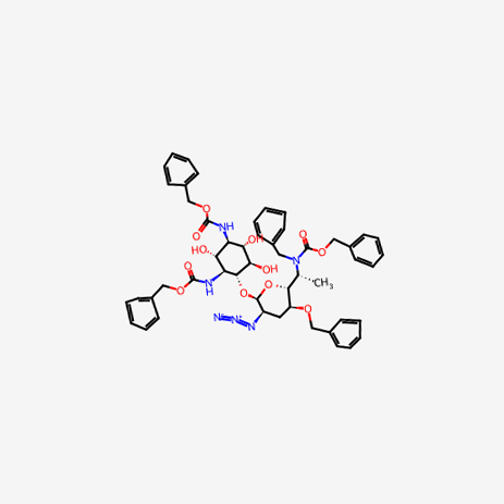 C[C@H]([C@H]1O[C@H](O[C@H]2[C@H](O)[C@@H](O)[C@H](NC(=O)OCc3ccccc3)[C@@H](O)[C@@H]2NC(=O)OCc2ccccc2)[C@H](N=[N+]=[N-])C[C@@H]1OCc1ccccc1)N(Cc1ccccc1)C(=O)OCc1ccccc1